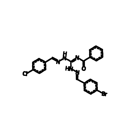 O=C(N=C(NN=Cc1ccc(Cl)cc1)NN=Cc1ccc(Br)cc1)c1ccccc1